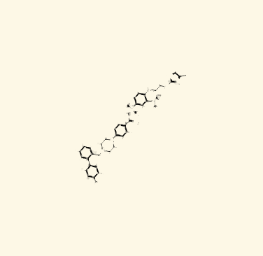 Cc1csc(SCCNc2ccc(S(=O)(=O)NC(=O)c3ccc(N4CCN(Cc5ccccc5-c5ccc(Cl)cc5)CC4)cc3)cc2[N+](=O)[O-])n1